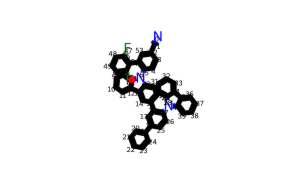 N#Cc1ccc(-n2c3ccccc3c3cc(-c4cc(-c5ccccc5)ccc4-n4c5ccccc5c5ccccc54)ccc32)c(-c2c(F)cccc2F)c1